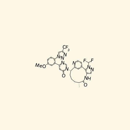 COc1ccc(-n2cc(C(F)(F)F)nn2)c(-c2cc(=O)n([C@H]3CCC[C@@H](C)C(=O)Nc4cnn(C(F)F)c4-c4ccnc3c4)cn2)c1